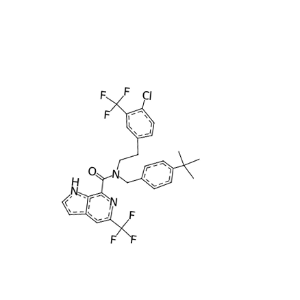 CC(C)(C)c1ccc(CN(CCc2ccc(Cl)c(C(F)(F)F)c2)C(=O)c2nc(C(F)(F)F)cc3cc[nH]c23)cc1